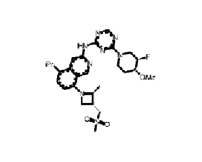 CO[C@H]1CCN(c2ncnc(Nc3cc4c(C(C)C)ccc(N5C[C@@H](CS(C)(=O)=O)[C@@H]5C)c4cn3)n2)C[C@H]1F